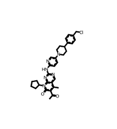 CC(=O)c1c(C)c2cnc(Nc3ccc(N4CCC(c5ccc(CCl)cc5)CC4)cn3)nc2n(C2CCCC2)c1=O